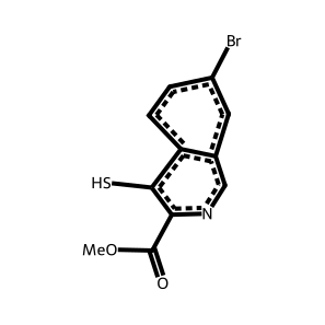 COC(=O)c1ncc2cc(Br)ccc2c1S